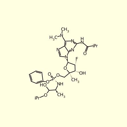 CC(C)OC(O)[C@H](C)N[P@](=O)(OC[C@@]1(C)O[C@@H](n2cnc3c(N(C)C)nc(NC(=O)C(C)C)nc32)[C@H](F)[C@@H]1O)Oc1ccccc1